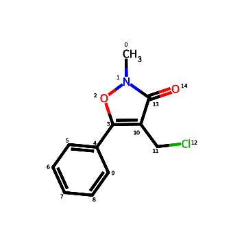 Cn1oc(-c2ccccc2)c(CCl)c1=O